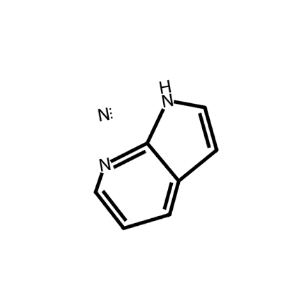 [N].c1cnc2[nH]ccc2c1